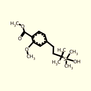 COC(=O)c1ccc(CCC(C)(C)[Si](C)(C)O)cc1OC